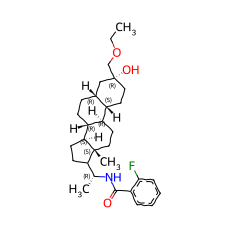 CCOC[C@@]1(O)CC[C@H]2[C@H](CC[C@@H]3[C@@H]2CC[C@]2(C)C([C@@H](C)NC(=O)c4ccccc4F)CC[C@@H]32)C1